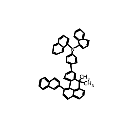 CC1(C)c2cc(-c3ccc(N(c4cccc5ccccc45)c4cccc5ccccc45)cc3)ccc2-c2c(-c3ccc4ccccc4c3)ccc3cccc1c23